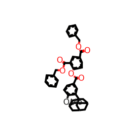 COc1ccc(C(=O)Oc2ccc(C(=O)OCc3ccccc3)cc2C(=O)OCc2ccccc2)cc1C12CC3CC(CC(C3)C1)C2